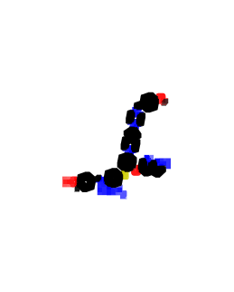 COc1ccc(CN2CCN(C3CC4(CCN(c5ccc(Sc6ccc(NC[C@H]7CC[C@](C)(O)CC7)c(N)c6)c(Oc6cnc7[nH]ccc7c6)c5)CC4)C3)CC2)cc1